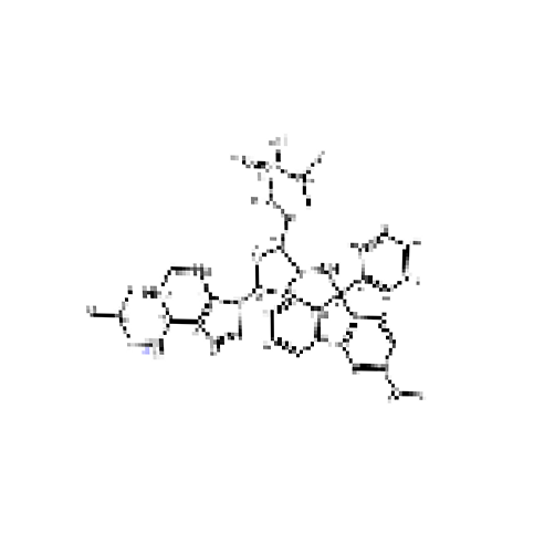 COc1ccc(C(NC2CC(n3cnc4c3N=CNC4/N=C\N(C)C)OC2COP(=O)(Cl)N(C)C)(c2ccccc2)c2ccccc2)cc1